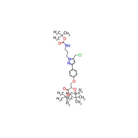 CC(C)(C)OC(=O)NCCCn1nc(-c2ccc(OCC(O[Si](C)(C)C(C)(C)C)C(=O)OC(C)(C)C)cc2)cc1CCl